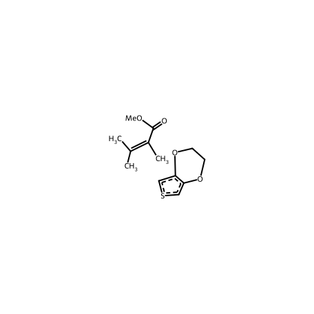 COC(=O)C(C)=C(C)C.c1scc2c1OCCO2